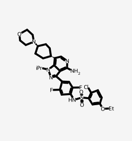 CCOc1ccc(Cl)c(S(=O)(=O)Nc2cc(F)c(-c3nn(C(C)C)c4c3c(N)ncc4[C@H]3CC[C@H](N4CCOCC4)CC3)cc2F)c1